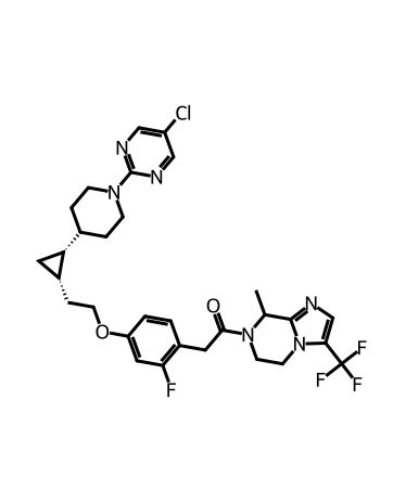 CC1c2ncc(C(F)(F)F)n2CCN1C(=O)Cc1ccc(OCC[C@@H]2C[C@@H]2C2CCN(c3ncc(Cl)cn3)CC2)cc1F